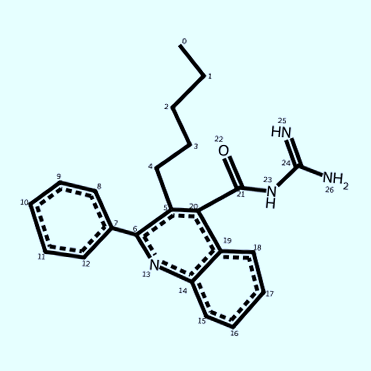 CCCCCc1c(-c2ccccc2)nc2ccccc2c1C(=O)NC(=N)N